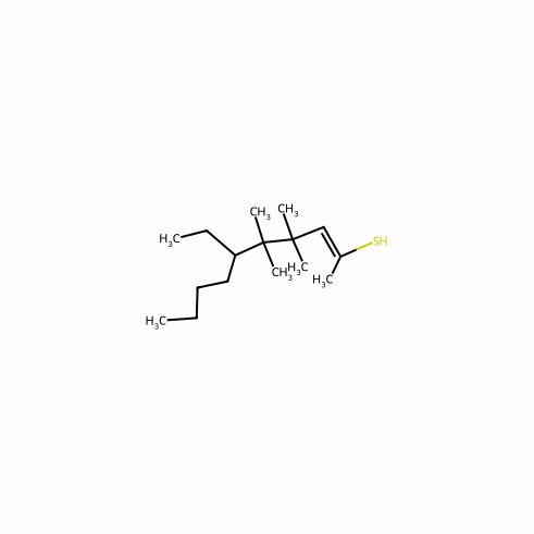 CCCCC(CC)C(C)(C)C(C)(C)/C=C(\C)S